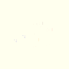 [N-]=[N+]=C(C(=O)O)P(=O)(O)O